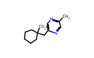 Cc1cnc(CC2(C(=O)O)CCCCC2)cn1